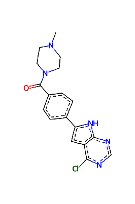 CN1CCN(C(=O)c2ccc(-c3cc4c(Cl)ncnc4[nH]3)cc2)CC1